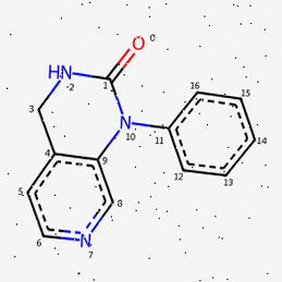 O=C1NCc2ccncc2N1c1ccccc1